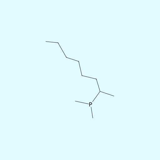 CCCCCCC(C)P(C)C